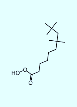 CC(C)(C)CC(C)(C)CCCCCC(=O)OO